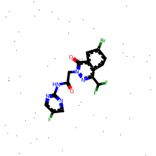 O=C(Cn1nc(C(F)F)c2ccc(Br)cc2c1=O)Nc1ncc(F)cn1